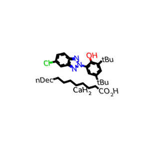 CC(C)(C)c1cc(-n2nc3ccc(Cl)cc3n2)c(O)c(C(C)(C)C)c1.CCCCCCCCCCCCCCCCCC(=O)O.[CaH2]